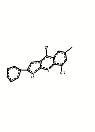 Cc1cc([N+](=O)[O-])c2nc3[nH]c(-c4ccccc4)cc3c(Cl)c2c1